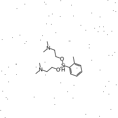 Cc1ccccc1[SiH](OCCN(C)C)OCCN(C)C